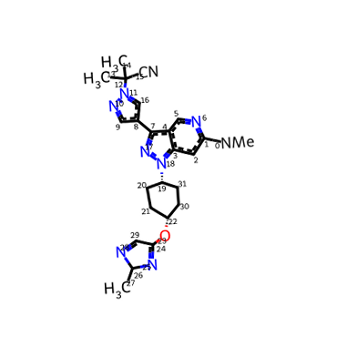 CNc1cc2c(cn1)c(-c1cnn(C(C)(C)C#N)c1)nn2[C@H]1CC[C@@H](OC2=NC(C)N=C2)CC1